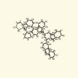 C1=Cc2c(n(-c3ccccc3)c3c(-c4cccc5c4c4ccccc4n5-c4cc(-c5ccc6sc7ccccc7c6c5)c5sc6ccccc6c5c4)cccc23)CC1